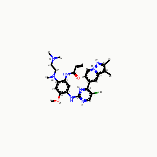 C=CC(=O)Nc1cc(Nc2ncc(F)c(-c3ccn4nc(C)c(C)c4c3)n2)c(OC)cc1N(C)CCN(C)C